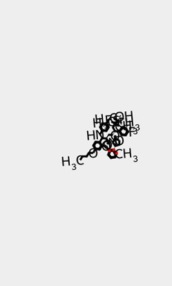 CCCCOc1ccc([C@@H](Nc2ccc(F)cc2)[C@@H](CC[C@H](CC(C)(C)[Si](C)(C)O)c2ccc(F)cc2)C(=O)N2C(=O)OC[C@@H]2c2ccccc2)c(OCCCC)c1